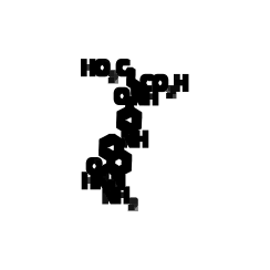 Nc1nc2ccc3c(Nc4ccc(C(=O)N[C@@H](CCC(=O)O)C(=O)O)cc4)cccc3c2c(=O)[nH]1